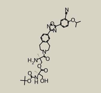 CC(C)Oc1ccc(-c2nc(-c3ccc4c(c3)CCN(C(=O)[C@](C)(N)COC(=O)[C@@](C)(CO)NC(=O)OC(C)(C)C)CC4)no2)cc1C#N